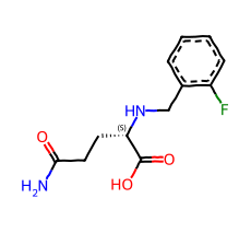 NC(=O)CC[C@H](NCc1ccccc1F)C(=O)O